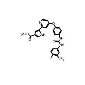 COC(=O)c1c[nH]c(-c2cc(Oc3ccc(NC(=O)Nc4ccc(F)c(C(F)(F)F)c4)cc3)ccn2)c1